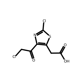 O=C(O)Cc1sc(Cl)nc1C(=O)CCl